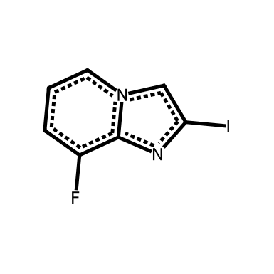 Fc1cccn2cc(I)nc12